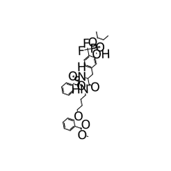 CCC(C)OP(=O)(O)C(F)(F)c1ccc(CC(NS(=O)(=O)c2ccccc2)C(=O)NCCCCOc2ccccc2C(=O)OC)cc1